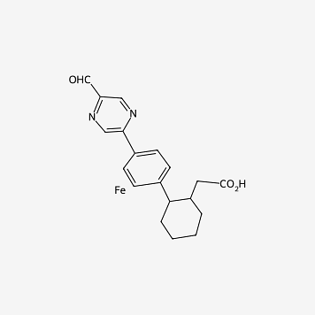 O=Cc1cnc(-c2ccc(C3CCCCC3CC(=O)O)cc2)cn1.[Fe]